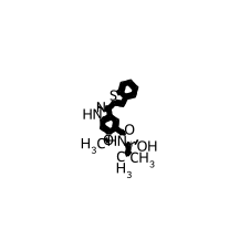 COc1cc2[nH]nc(-c3cc4ccccc4s3)c2cc1C(=O)N[C@H](CO)C(C)C